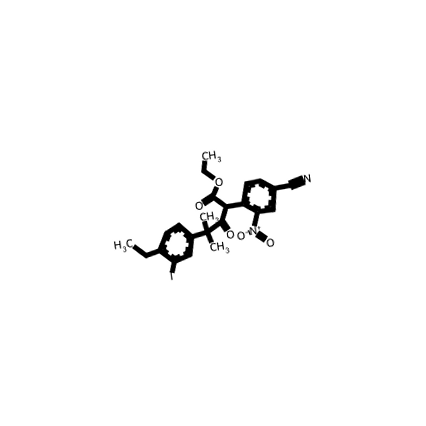 CCOC(=O)C(C(=O)C(C)(C)c1ccc(CC)c(I)c1)c1ccc(C#N)cc1[N+](=O)[O-]